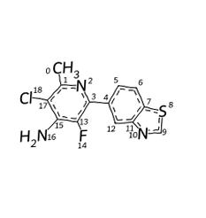 Cc1nc(-c2ccc3scnc3c2)c(F)c(N)c1Cl